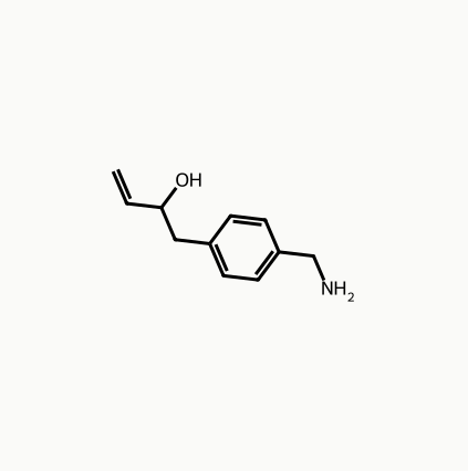 C=CC(O)Cc1ccc(CN)cc1